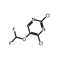 FC(F)Oc1cnc(Cl)nc1Cl